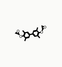 Cc1cc(-c2cc(C)c(OC3CO3)c(C)c2)cc(C)c1OC1CO1